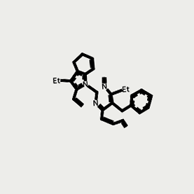 C=C\C=C/C(=N/Cn1c(C=C)c(CC)c2c1C=CCC2)C(/Cc1ccccc1)=C(/CC)N=C